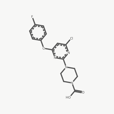 O=C(O)N1CCN(c2nc(Cl)cc(Oc3ccc(F)cc3)n2)CC1